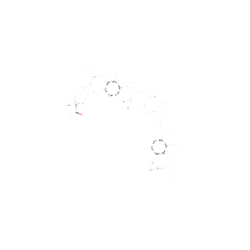 CC(Sc1ccc2c(c1C(=O)O)OB(ON1CCN(CCSc3ccc4c(c3C(=O)O)OB(O)C3CC43)CC1)C1CC21)C1CN(C[C@@](C)(N)C(N)=O)C1